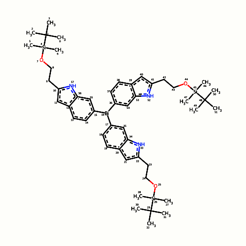 CC(C)(C)[Si](C)(C)OCCc1cc2cc[c]([Bi]([c]3ccc4cc(CCO[Si](C)(C)C(C)(C)C)[nH]c4c3)[c]3ccc4cc(CCO[Si](C)(C)C(C)(C)C)[nH]c4c3)cc2[nH]1